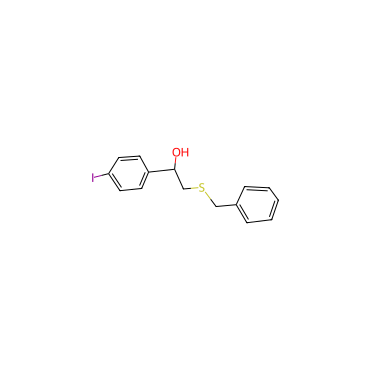 OC(CSCc1ccccc1)c1ccc(I)cc1